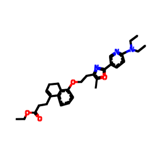 CCOC(=O)CCC1=CCCc2c(OCCc3nc(-c4ccc(N(CC)CC)nc4)oc3C)cccc21